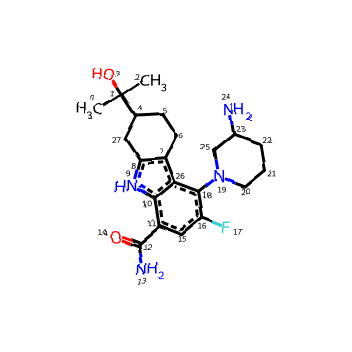 CC(C)(O)C1CCc2c([nH]c3c(C(N)=O)cc(F)c(N4CCCC(N)C4)c23)C1